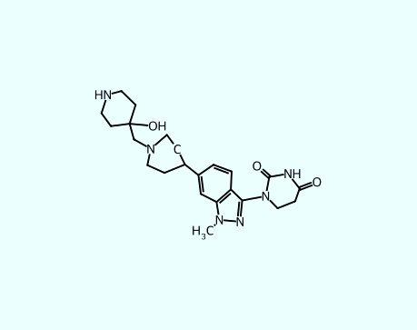 Cn1nc(N2CCC(=O)NC2=O)c2ccc(C3CCN(CC4(O)CCNCC4)CC3)cc21